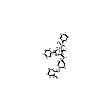 O=C(NS(=O)(=O)c1ccccc1)C(=Cc1ccc(Oc2ccccc2Br)cc1)NC(=O)c1ccccc1